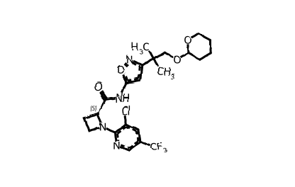 CC(C)(COC1CCCCO1)c1cc(NC(=O)[C@@H]2CCN2c2ncc(C(F)(F)F)cc2Cl)on1